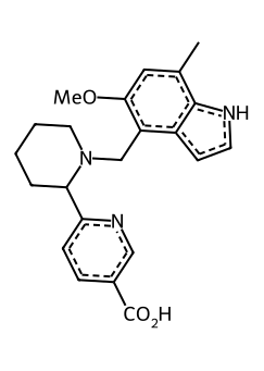 COc1cc(C)c2[nH]ccc2c1CN1CCCCC1c1ccc(C(=O)O)cn1